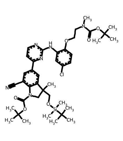 CN(CCOc1ccc(Cl)cc1Nc1nccc(-c2cc(C#N)c3c(c2)C(C)(CO[Si](C)(C)C(C)(C)C)CN3C(=O)OC(C)(C)C)n1)C(=O)OC(C)(C)C